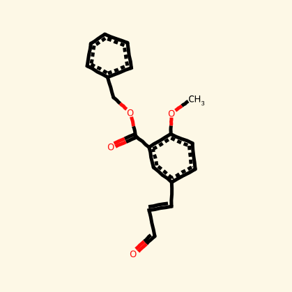 COc1ccc(/C=C/C=O)cc1C(=O)OCc1ccccc1